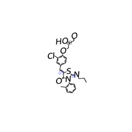 CCC/N=C1/S/C(=C\c2ccc(OC[C@H](O)C=O)c(Cl)c2)C(=O)N1c1ccccc1C